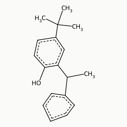 CC(c1ccccc1)c1cc(C(C)(C)C)ccc1O